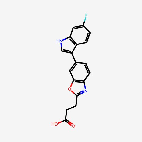 O=C(O)CCc1nc2ccc(-c3c[nH]c4cc(F)ccc34)cc2o1